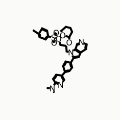 Cc1ccc(S(=O)(=O)OCC(Cn2c(-c3ccc(-c4ccc(N(C)C)nc4)cc3)cc3ccncc32)OC2CCCCO2)cc1